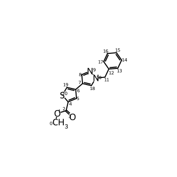 COC(=O)c1cc(-c2cnn(Cc3ccccc3)c2)cs1